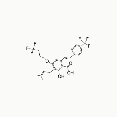 CC(C)=CCc1c(OCCCC(F)(F)F)cc(C=Cc2ccc(C(F)(F)F)cc2)c(C(=O)O)c1O